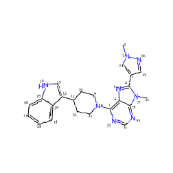 Cn1cc(-c2nc3c(N4CCC(c5c[nH]c6ccccc56)CC4)ncnc3n2C)cn1